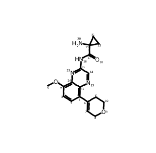 COc1ccc(C2=CCOCC2)c2ncc(NC(=O)C3(N)CC3)nc12